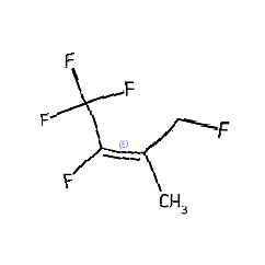 C/C(CF)=C(\F)C(F)(F)F